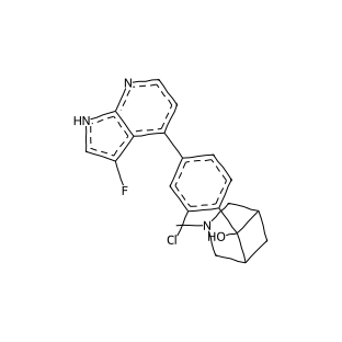 CN1CC2CC(C1)C2(O)c1ccc(-c2ccnc3[nH]cc(F)c23)cc1Cl